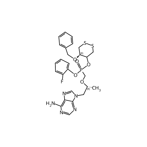 C[C@H](Cn1cnc2c(N)ncnc21)OCP(=O)(Oc1ccccc1F)OC1CSSC[C@@H]1OCc1ccccc1